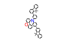 CC1(C)c2ccccc2-c2ccc(-c3ccc(N(c4cccc(-c5cccc6c5C(C)(C)c5ccccc5-6)c4)c4cccc5oc6ccccc6c45)cc3)cc21